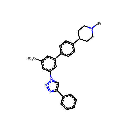 CC(C)N1CCC(c2ccc(-c3cc(C(=O)O)cc(-n4cc(-c5ccccc5)nn4)c3)cc2)CC1